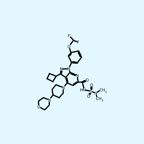 CN(C)S(=O)(=O)NC(=O)c1cc(N2CCC(N3CCOCC3)CC2)c2c(C3CCC3)nn(-c3cccc(OC(F)F)c3)c2n1